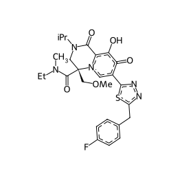 CCN(C)C(=O)[C@]1(COC)CN(C(C)C)C(=O)c2c(O)c(=O)c(-c3nnc(Cc4ccc(F)cc4)s3)cn21